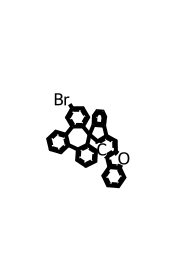 Brc1ccc2c(c1)-c1ccccc1-c1ccccc1C21c2ccccc2-c2cc3oc4ccccc4c3cc21